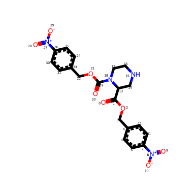 O=C(OCc1ccc([N+](=O)[O-])cc1)C1CNCCN1C(=O)OCc1ccc([N+](=O)[O-])cc1